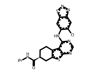 CC(C)NC(=O)[C@H]1CCc2c(sc3ncnc(Nc4cc5snnc5cc4Cl)c23)C1